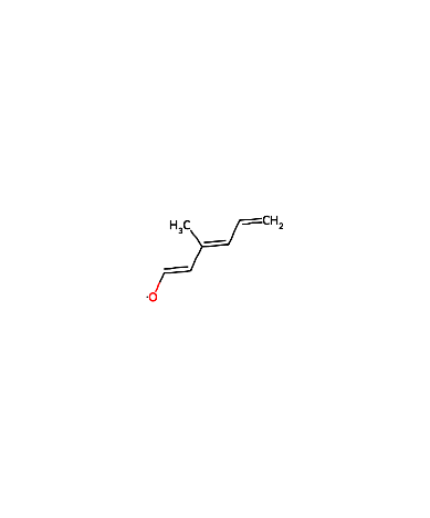 C=C/C=C(C)/C=C/[O]